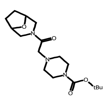 CC(C)(C)OC(=O)N1CCN(CC(=O)N2CC3CCC(C2)O3)CC1